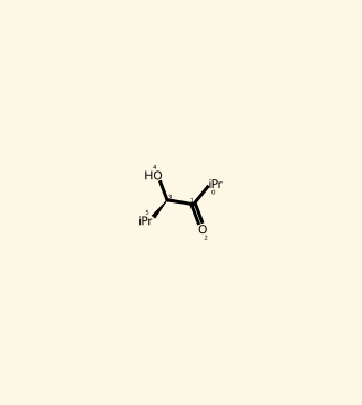 CC(C)C(=O)[C@H](O)C(C)C